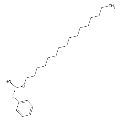 CCCCCCCCCCCCCCCCOP(O)Oc1ccccc1